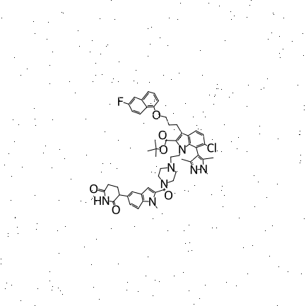 Cc1nn(C)c(C)c1-c1c(Cl)ccc2c(CCCOc3cccc4cc(F)ccc34)c(C(=O)OC(C)(C)C)n(CCN3CCN(C(=O)c4cc5cc(C6CCC(=O)NC6=O)ccc5n4C)CC3)c12